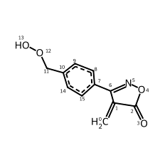 C=C1C(=O)ON=C1c1ccc(COO)cc1